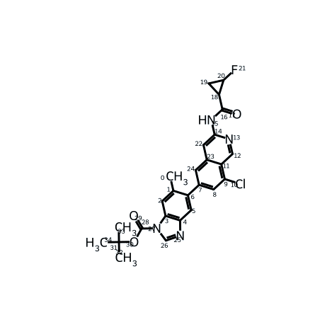 Cc1cc2c(cc1-c1cc(Cl)c3cnc(NC(=O)C4CC4F)cc3c1)ncn2C(=O)OC(C)(C)C